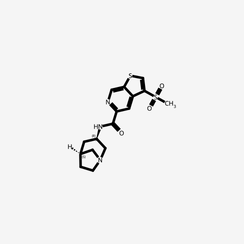 CS(=O)(=O)c1csc2cnc(C(=O)N[C@@H]3C[C@@H]4CCN(C4)C3)cc12